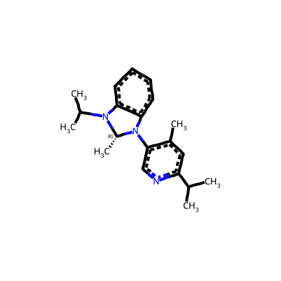 Cc1cc(C(C)C)ncc1N1c2ccccc2N(C(C)C)[C@H]1C